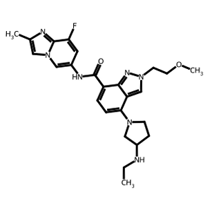 CCNC1CCN(c2ccc(C(=O)Nc3cc(F)c4nc(C)cn4c3)c3nn(CCOC)cc23)C1